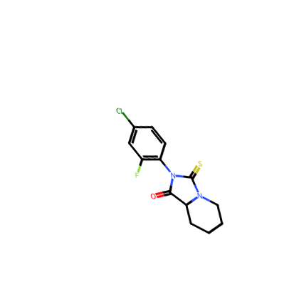 O=C1C2CCCCN2C(=S)N1c1ccc(Cl)cc1F